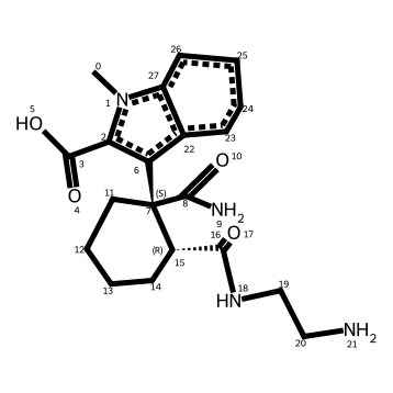 Cn1c(C(=O)O)c([C@]2(C(N)=O)CCCC[C@H]2C(=O)NCCN)c2ccccc21